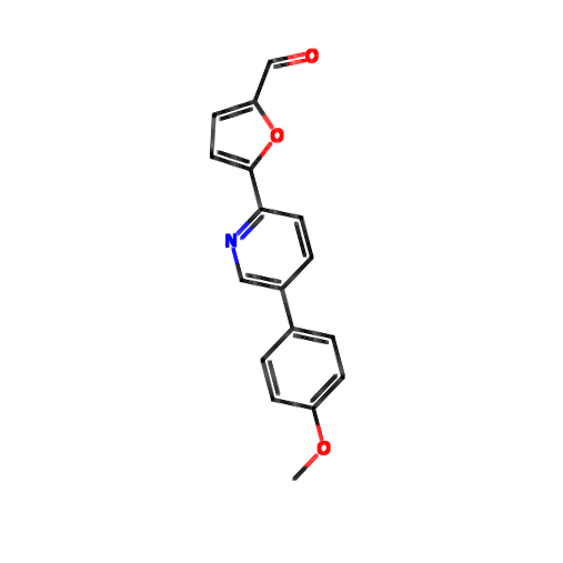 COc1ccc(-c2ccc(-c3ccc(C=O)o3)nc2)cc1